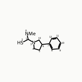 CNC(S)N1CCC(c2ccccc2)C1